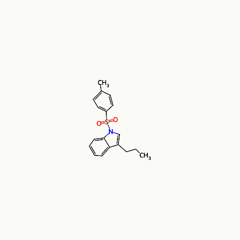 CCCc1cn(S(=O)(=O)c2ccc(C)cc2)c2ccccc12